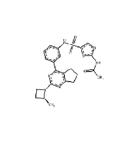 CC(=O)Nc1ncc(S(=O)(=O)Nc2cccc(-c3nc(N4CC[C@@H]4C)nc4c3CCC4)c2)s1